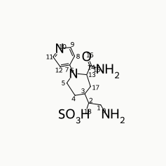 NCC(C1CCN(c2ccncc2)C(C(N)=O)C1)S(=O)(=O)O